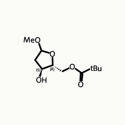 COC1C[C@H](O)[C@@H](COC(=O)C(C)(C)C)O1